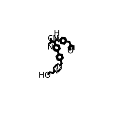 N#Cc1cnc2cc(-c3ccc(CN4CCN(CCO)CC4)cc3)ccc2c1Nc1ccc(Cc2ccoc2)cc1